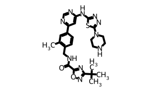 Cc1cc(-c2cc(Nc3nnc(N4CCNCC4)s3)ncn2)ccc1CNC(=O)c1nc(C(C)(C)C)no1